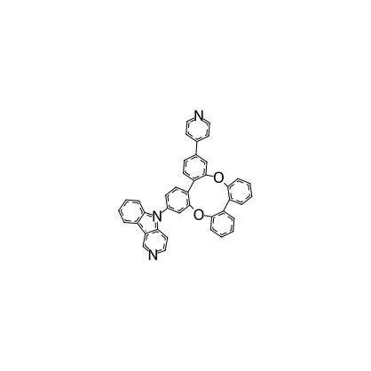 c1ccc2c(c1)Oc1cc(-c3ccncc3)ccc1-c1ccc(-n3c4ccccc4c4cnccc43)cc1Oc1ccccc1-2